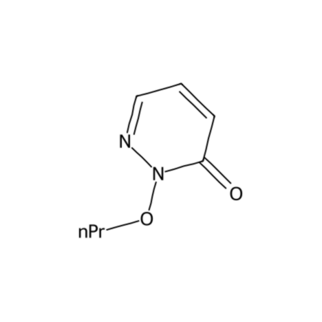 CCCOn1ncccc1=O